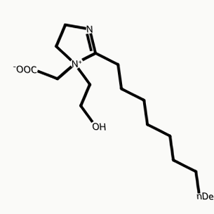 CCCCCCCCCCCCCCCCCC1=NCC[N+]1(CCO)CC(=O)[O-]